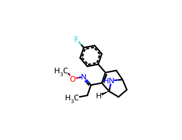 CCC(=NOC)C1=C(c2ccc(F)cc2)CC2CC[C@H]1N2